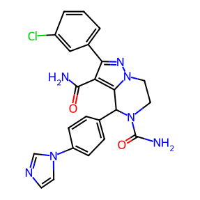 NC(=O)c1c(-c2cccc(Cl)c2)nn2c1C(c1ccc(-n3ccnc3)cc1)N(C(N)=O)CC2